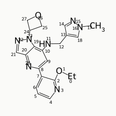 CCOc1ncccc1-c1cc(NCc2cnn(C)c2)c2c(cnn2C2COC2)n1